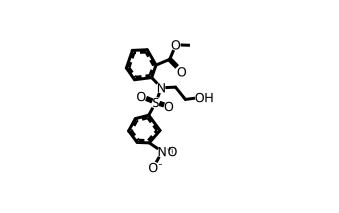 COC(=O)c1ccccc1N(CCO)S(=O)(=O)c1cccc([N+](=O)[O-])c1